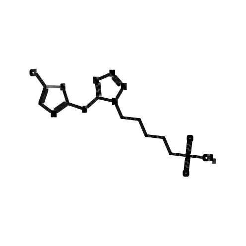 CS(=O)(=O)CCCCCn1nnnc1Sc1ncc(Cl)s1